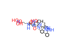 CCCc1nc(C(C)(C)O)c(C(=O)NCC(=O)NCCCCON(O)O)n1Cc1ccc(-c2ccccc2-c2nnn[nH]2)cc1